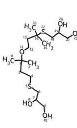 CC(C)(CCSCC(O)CO)OCCC(C)(C)SCC(O)CO